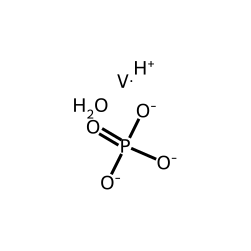 O.O=P([O-])([O-])[O-].[H+].[V]